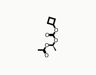 CC(=O)O[C@H](C)OC(=O)OC1CCC1